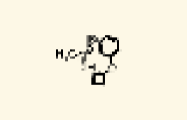 C1=CC(Oc2ccccc2)C1.C[SiH](C)OC(C)(C)C